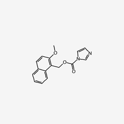 COc1ccc2ccccc2c1COC(=O)n1ccnc1